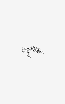 CC(C)CC(C)COC(COCC(F)(F)C(F)(F)C(F)(F)C(F)(F)C(F)(F)C(F)(F)C(F)(F)C(F)(F)F)COC(C)(C)COC(C)(C)C